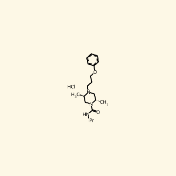 CC(C)NC(=O)N1C[C@@H](C)N(CCCOc2ccccc2)C[C@@H]1C.Cl